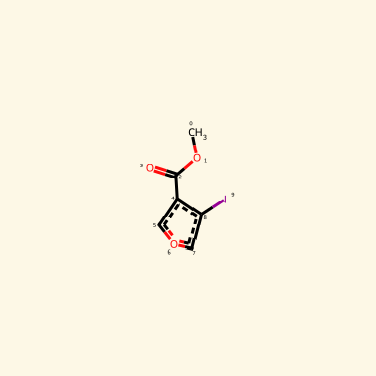 COC(=O)c1cocc1I